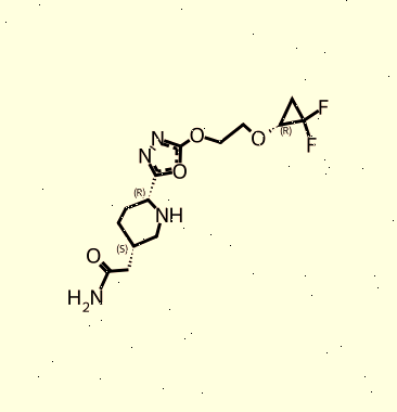 NC(=O)C[C@@H]1CC[C@H](c2nnc(OCCO[C@@H]3CC3(F)F)o2)NC1